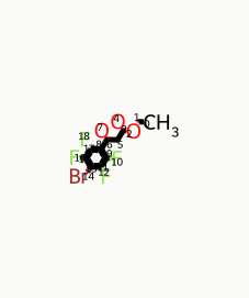 CCOC(=O)CC(=O)c1c(F)c(F)c(Br)c(F)c1F